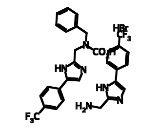 Br.NCc1ncc(-c2ccc(C(F)(F)F)cc2)[nH]1.O=C(O)N(Cc1ccccc1)Cc1ncc(-c2ccc(C(F)(F)F)cc2)[nH]1